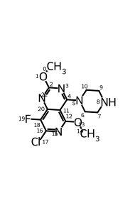 COc1nc(N2CCNCC2)c2c(OC)nc(Cl)c(F)c2n1